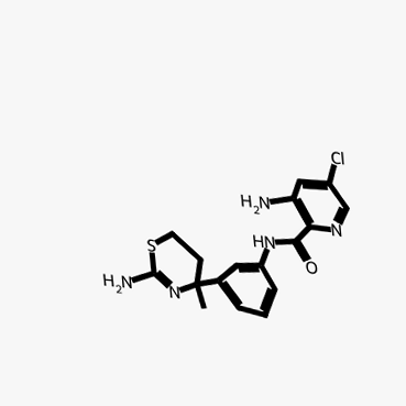 CC1(c2cccc(NC(=O)c3ncc(Cl)cc3N)c2)CCSC(N)=N1